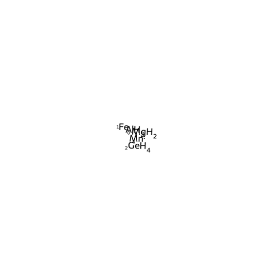 [AlH3].[Fe].[GeH4].[MgH2].[Mn]